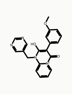 COc1cccc(-c2c(O)n(Cc3cncnc3)c3cccc[n+]3c2=O)c1